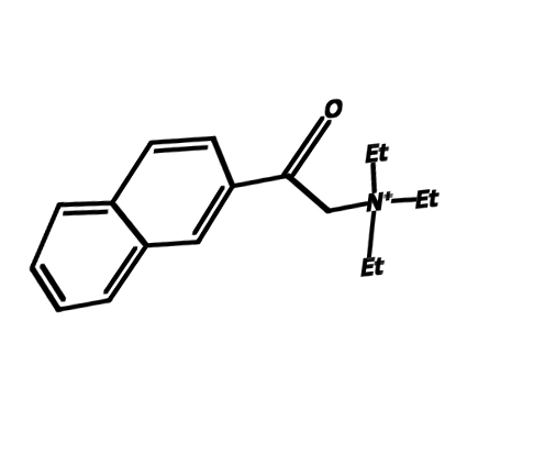 CC[N+](CC)(CC)CC(=O)c1ccc2ccccc2c1